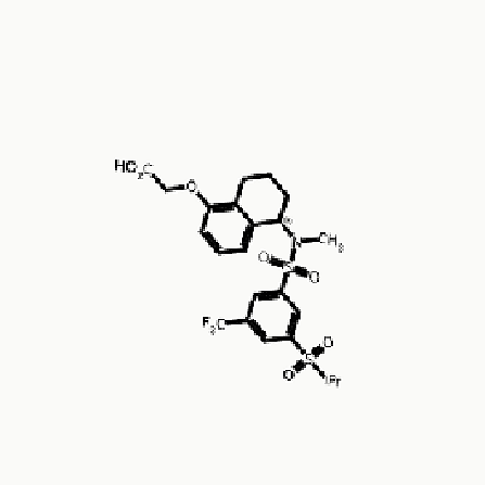 CC(C)S(=O)(=O)c1cc(C(F)(F)F)cc(S(=O)(=O)N(C)[C@@H]2CCCc3c(OCC(=O)O)cccc32)c1